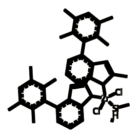 CC1=Cc2c(-c3c(C)c(C)cc(C)c3C)cccc2[CH]1[Zr]([Cl])([Cl])([CH]1C(C)=Cc2c(-c3c(C)c(C)cc(C)c3C)cccc21)[SiH](C)C